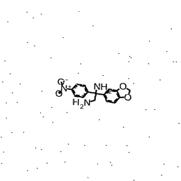 NCC(N)(c1ccc([N+](=O)[O-])cc1)c1ccc2c(c1)OCO2